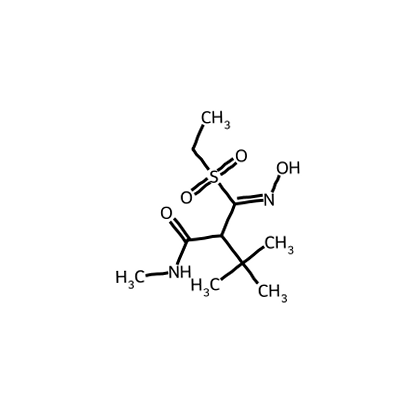 CCS(=O)(=O)/C(=N\O)C(C(=O)NC)C(C)(C)C